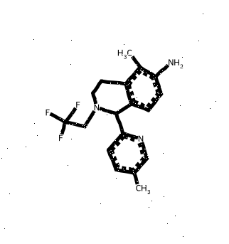 Cc1ccc(C2c3ccc(N)c(C)c3CCN2CC(F)(F)F)nc1